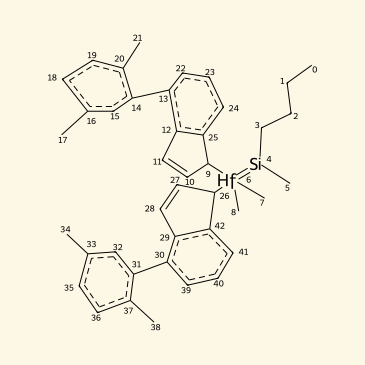 CCCC[Si](C)=[Hf]([CH3])([CH3])([CH]1C=Cc2c(-c3cc(C)ccc3C)cccc21)[CH]1C=Cc2c(-c3cc(C)ccc3C)cccc21